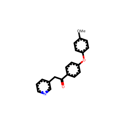 COc1ccc(Oc2ccc(C(=O)Cc3cccnc3)cc2)cc1